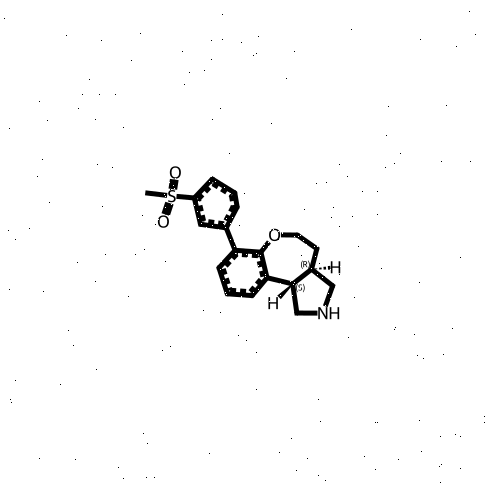 CS(=O)(=O)c1cccc(-c2cccc3c2OCC[C@H]2CNC[C@H]32)c1